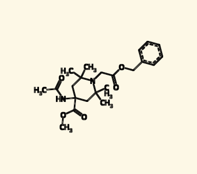 COC(=O)C1(NC(C)=O)CC(C)(C)N(CC(=O)OCc2ccccc2)C(C)(C)C1